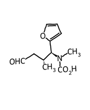 C[C@H](CC=O)[C@@H](c1ccco1)N(C)C(=O)O